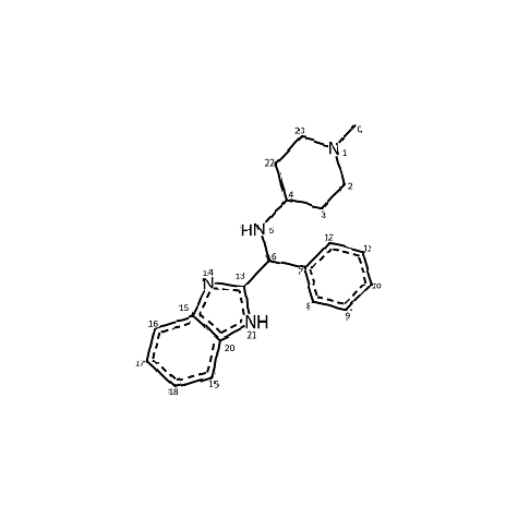 CN1CCC(NC(c2c[c]ccc2)c2nc3ccccc3[nH]2)CC1